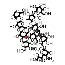 CC1C(O)[C@H](O[C@@H]2OC(CO)[C@H](O)C(O)[C@@H]2O)[C@H](CO)O[C@H]1OC1[C@@H](OCC2O[C@@H](O[C@@H]3C(CO)O[C@@H](O[C@@H]4C(CO)O[C@@H](C)[C@@H](C)C4O)[C@@H](C)C3O)[C@H](O)C(O[C@H]3O[C@H](CO)[C@@H](O)C(O)C3O[C@@H]3OC(CO)[C@@H](O[C@@H]4OC(CO[C@]5(C(=O)O)C[C@@H](O)[C@@H](N)C([C@H](O)[C@H](O)CO)O5)[C@H](O)C(O)[C@@H]4O)[C@H](O)C3C)[C@@H]2O)OC(CO)[C@@H](O)[C@@H]1O